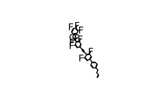 C=CCCc1ccc(-c2cc(F)c(C#Cc3cc(F)c(C(F)(F)Oc4cc(F)c(F)c(F)c4)c(F)c3)c(F)c2)cc1